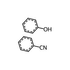 N#Cc1ccccc1.Oc1ccccc1